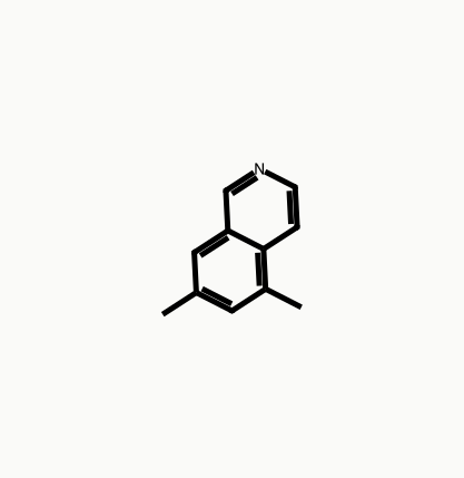 Cc1cc(C)c2ccncc2c1